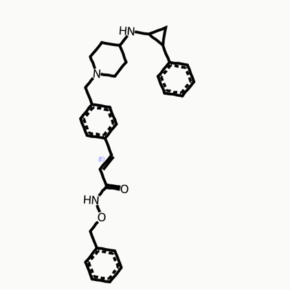 O=C(/C=C/c1ccc(CN2CCC(NC3CC3c3ccccc3)CC2)cc1)NOCc1ccccc1